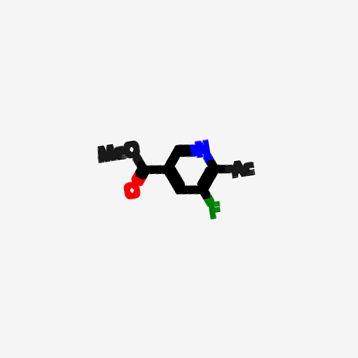 COC(=O)c1cnc(C(C)=O)c(F)c1